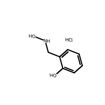 Cl.ONCc1ccccc1O